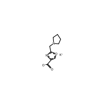 O=C([O-])c1coc(CN2CCCC2)n1.[K+]